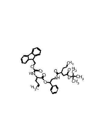 C=CCC(CC(=O)OC(C)(C)C)C(=O)NCC(OC(=O)C(CC=C)NC(=O)OCC1c2ccccc2-c2ccccc21)c1ccccc1